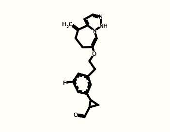 C=C1CCC(OCCc2cc(F)cc(C3CC3C=O)c2)=CN2NN=CC=C12